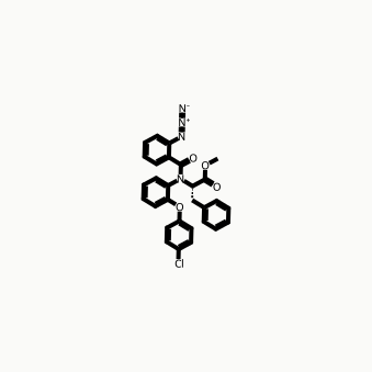 COC(=O)[C@H](Cc1ccccc1)N(C(=O)c1ccccc1N=[N+]=[N-])c1ccccc1Oc1ccc(Cl)cc1